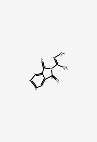 CC(=NO)N1C(=O)c2ccccc2C1=O